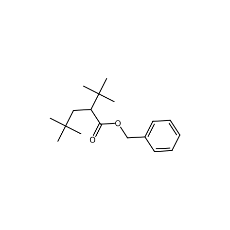 CC(C)(C)CC(C(=O)OCc1ccccc1)C(C)(C)C